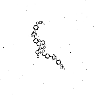 O=C(OC(Cc1ccc(-c2ncn(-c3ccc(OC(F)(F)F)cc3)n2)cc1)N1C(=O)CCC1=O)OC(Cc1ccc(-c2ncn(-c3ccc(OC(F)(F)F)cc3)n2)cc1)N1C(=O)CCC1=O